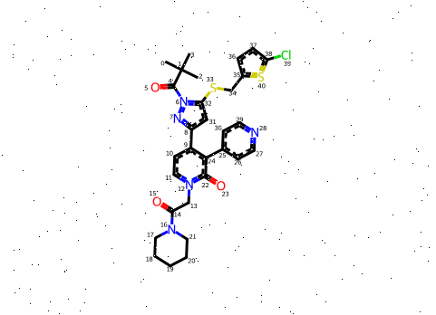 CC(C)(C)C(=O)n1nc(-c2ccn(CC(=O)N3CCCCC3)c(=O)c2-c2ccncc2)cc1SCc1ccc(Cl)s1